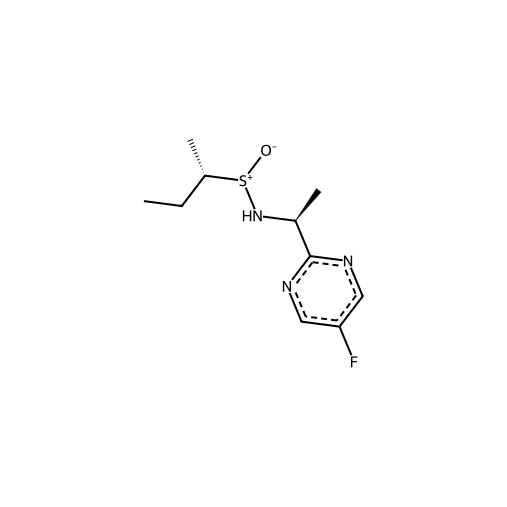 CC[C@H](C)[S+]([O-])N[C@@H](C)c1ncc(F)cn1